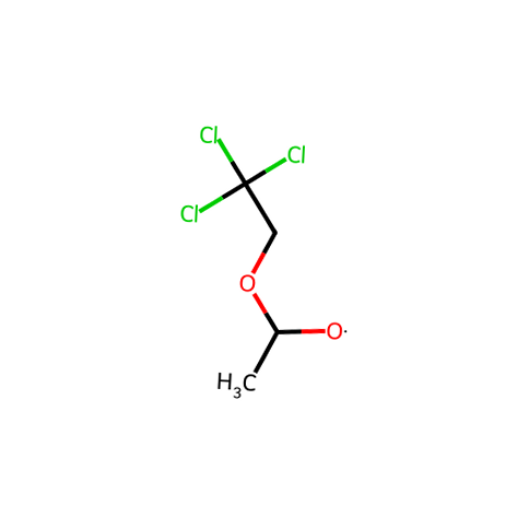 CC([O])OCC(Cl)(Cl)Cl